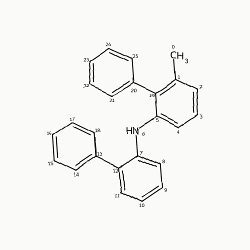 Cc1cccc(Nc2ccccc2-c2ccccc2)c1-c1ccccc1